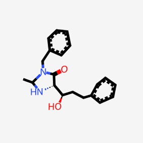 CC1N[C@@H]([C@H](O)CCc2ccccc2)C(=O)N1Cc1ccccc1